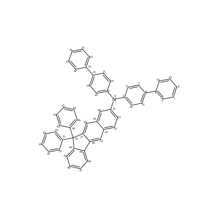 c1ccc(-c2ccc(N(c3ccc(-c4ccccc4)cc3)c3ccc4cc5c(cc4c3)C(c3ccccc3)(c3ccccc3)c3ccccc3-5)cc2)cc1